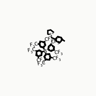 Cc1ccc(C[S+]2CCCC2)cc1.FC(F)(F)c1cc([B-](c2cc(C(F)(F)F)cc(C(F)(F)F)c2)(c2cc(C(F)(F)F)cc(C(F)(F)F)c2)c2cc(C(F)(F)F)cc(C(F)(F)F)c2)cc(C(F)(F)F)c1